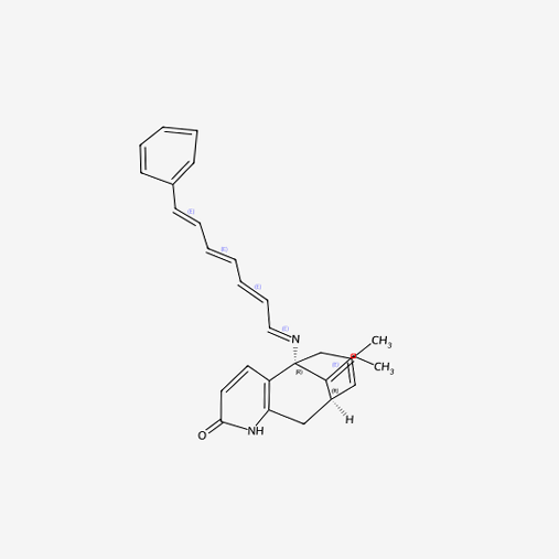 C/C=C1\[C@H]2C=C(C)C[C@]1(/N=C/C=C/C=C/C=C/c1ccccc1)c1ccc(=O)[nH]c1C2